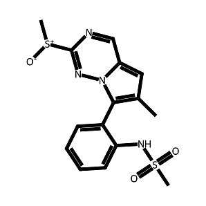 Cc1cc2cnc([S+](C)[O-])nn2c1-c1ccccc1NS(C)(=O)=O